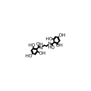 O=C(NCCNC(=O)c1c(O)cc(O)cc1O)c1c(O)cc(O)cc1O